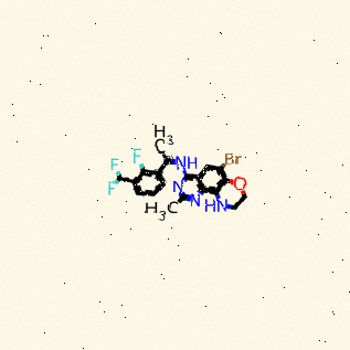 Cc1nc(N[C@H](C)c2cccc(C(F)F)c2F)c2cc(Br)c3c(c2n1)NCCO3